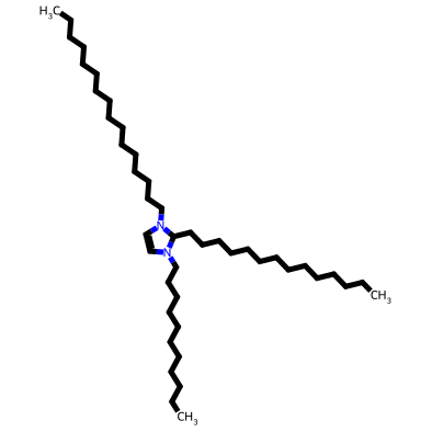 CCCCCCCCCCCCCCCCN1C=CN(CCCCCCCCCCC)C1CCCCCCCCCCCCCC